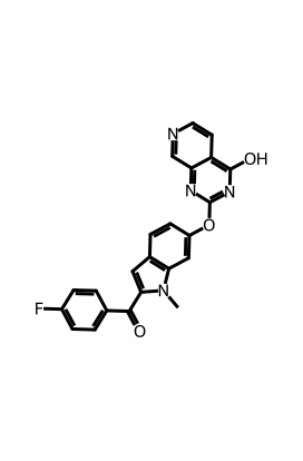 Cn1c(C(=O)c2ccc(F)cc2)cc2ccc(Oc3nc(O)c4ccncc4n3)cc21